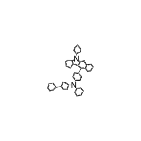 c1ccc(-c2ccc(N(c3ccccc3)c3ccc(-c4c5ccccc5cc5c4c4ccccc4n5-c4ccccc4)cc3)cc2)cc1